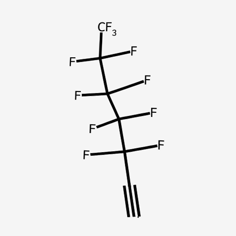 [C]#CC(F)(F)C(F)(F)C(F)(F)C(F)(F)C(F)(F)F